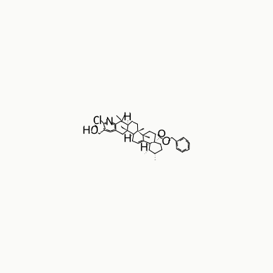 C[C@@H]1[C@H]2C3=CC[C@H]4[C@]5(C)Cc6cc(CO)c(Cl)nc6C(C)(C)[C@H]5CC[C@]4(C)[C@]3(C)CC[C@@]2(C(=O)OCc2ccccc2)CC[C@@H]1C